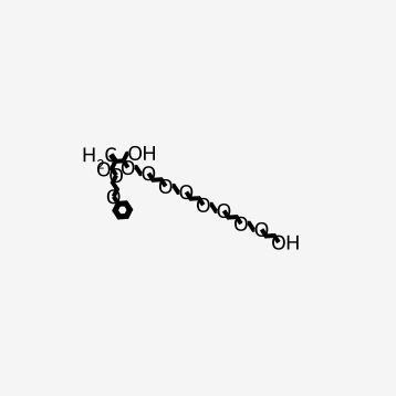 C=C(C(=O)OCCOc1ccccc1)C(CO)OCCOCCOCCOCCOCCOCCOCCOCCO